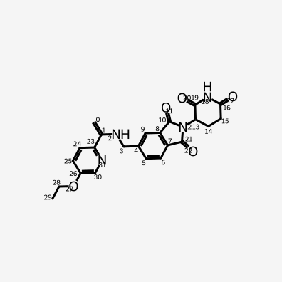 C=C(NCc1ccc2c(c1)C(=O)N(C1CCC(=O)NC1=O)C2=O)c1ccc(OCC)cn1